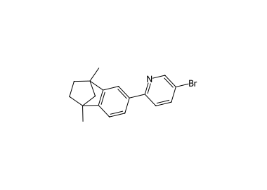 CC12CCC(C)(C1)c1cc(-c3ccc(Br)cn3)ccc12